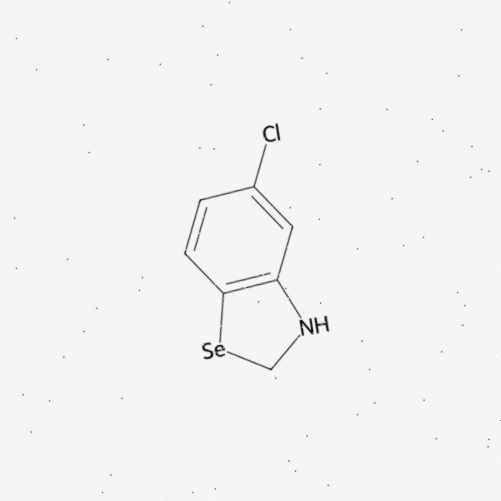 Clc1ccc2c(c1)NC[Se]2